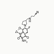 COc1c(N2CCC(CNCCC#N)C2)c(F)cc2c(=O)n(N)c(=O)n(C3CC3)c12